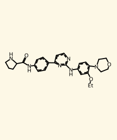 CCOc1cc(Nc2nccc(-c3ccc(NC(=O)C4CCCN4)cc3)n2)ccc1N1CCOCC1